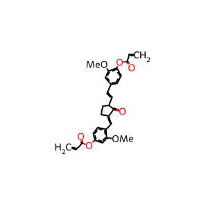 C=CC(=O)Oc1ccc(C=C2CCC(/C=C/c3ccc(OC(=O)C=C)c(OC)c3)C2=O)c(OC)c1